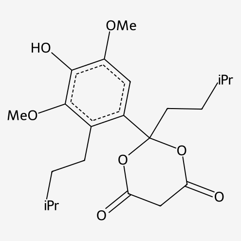 COc1cc(C2(CCC(C)C)OC(=O)CC(=O)O2)c(CCC(C)C)c(OC)c1O